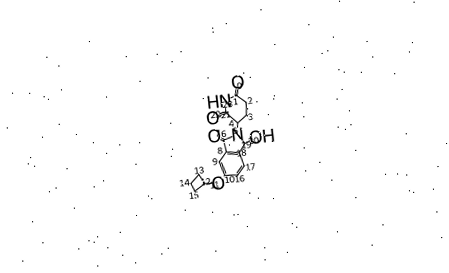 O=C1CCC(N2C(=O)c3cc(OC4CCC4)ccc3C2O)C(=O)N1